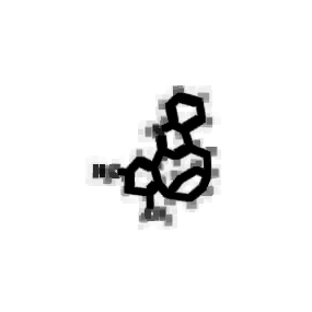 Cc1cc(C)c2c(c1)-c1cc(c3ccccc3n1)CC1CCC2CC1